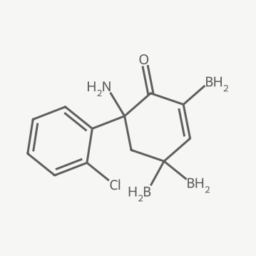 BC1=CC(B)(B)CC(N)(c2ccccc2Cl)C1=O